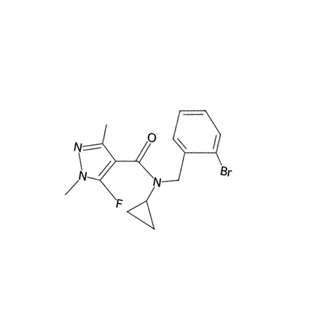 Cc1nn(C)c(F)c1C(=O)N(Cc1ccccc1Br)C1CC1